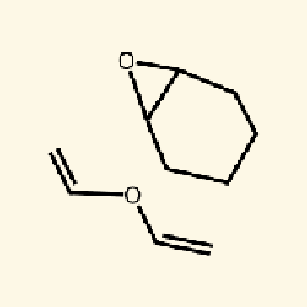 C1CCC2OC2C1.C=COC=C